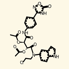 CC(=O)O[C@@H](C(=O)Nc1ccc(-c2noc(=O)[nH]2)cc1)[C@@H](OC(C)=O)C(=O)N(CCCl)c1ccc2[nH]ccc2c1